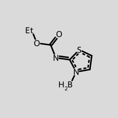 Bn1ccs/c1=N\C(=O)OCC